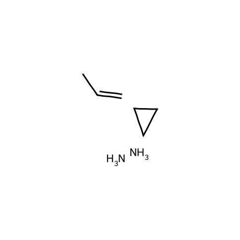 C1CC1.C=CC.N.N